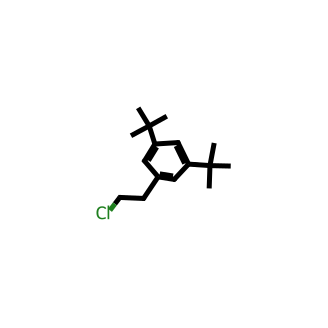 CC(C)(C)c1cc(CCCl)cc(C(C)(C)C)c1